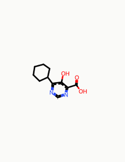 O=C(O)c1n[c]nc(C2CCCCC2)c1O